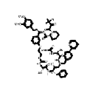 CCC(C)(C)C(=O)C(=O)N1CCCC[C@H]1C(=O)O[C@H](CCc1ccc(OC)c(OC)c1)c1cccc(OCCOC(=O)N[C@H](C(=O)N[C@@H](Cc2ccccc2)[C@@H](O)CN(Cc2ccc(-c3ccccn3)cc2)NC(=O)[C@@H](NC(=O)OC)C(C)(C)C)C(C)(C)C)c1